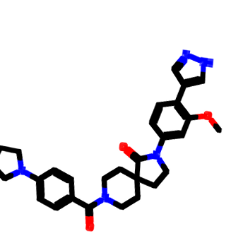 COc1cc(N2CCC3(CCN(C(=O)c4ccc(N5CCCC5)cc4)CC3)C2=O)ccc1-c1cn[nH]c1